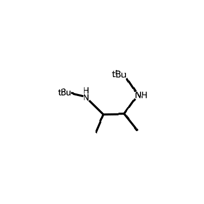 CC(NC(C)(C)C)C(C)NC(C)(C)C